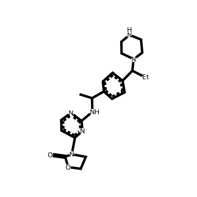 CCC(c1ccc(C(C)Nc2nccc(N3CCOC3=O)n2)cc1)N1CCNCC1